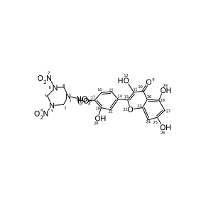 O=[N+]([O-])N1CN([N+](=O)[O-])CN([N+](=O)[O-])C1.O=c1c(O)c(-c2ccc(O)c(O)c2)oc2cc(O)cc(O)c12